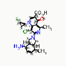 Cc1nc(N2C[C@@H]3[C@H](C2)[C@H](N)C=C[C@@H]3C)c(Cl)c2c1c(=O)c(C(=O)O)cn2[C@@H]1C[C@@H]1F